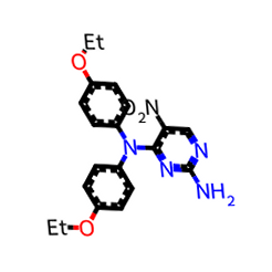 CCOc1ccc(N(c2ccc(OCC)cc2)c2nc(N)ncc2[N+](=O)[O-])cc1